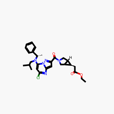 CCOC(=O)C[C@H]1C2CN(C(=O)c3cc4nc(Cl)cc(N(CC(C)C)[C@@H](C)c5ccccc5)n4n3)C[C@@H]21